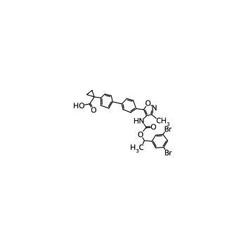 Cc1noc(-c2ccc(-c3ccc(C4(C(=O)O)CC4)cc3)cc2)c1NC(=O)OC(C)c1cc(Br)cc(Br)c1